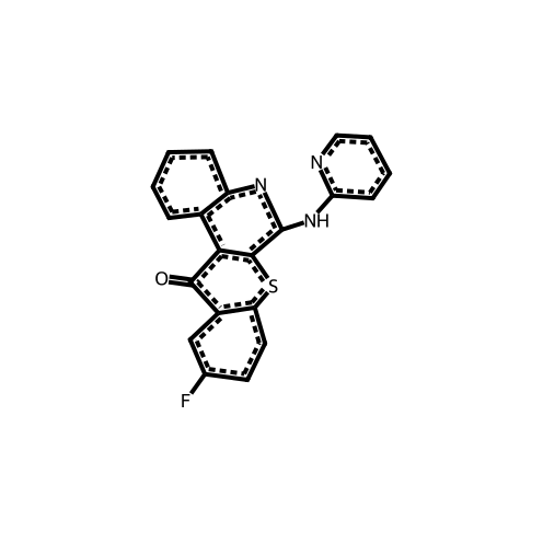 O=c1c2cc(F)ccc2sc2c(Nc3ccccn3)nc3ccccc3c12